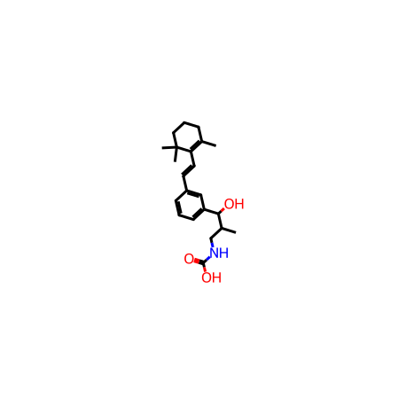 CC1=C(C=Cc2cccc(C(O)C(C)CNC(=O)O)c2)C(C)(C)CCC1